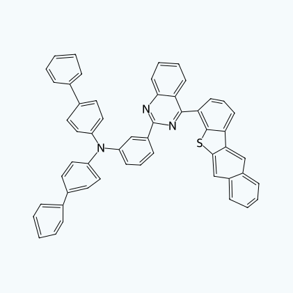 c1ccc(-c2ccc(N(c3ccc(-c4ccccc4)cc3)c3cccc(-c4nc(-c5cccc6c5sc5cc7ccccc7cc56)c5ccccc5n4)c3)cc2)cc1